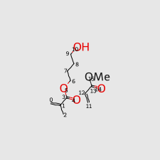 C=C(C)C(=O)OCCCCO.C=CC(=O)OC